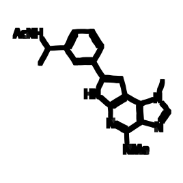 CNc1nc2[nH]c(-c3cccc(C(C)NC(C)=O)c3)cc2c2c1ncn2C